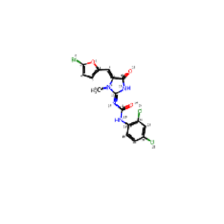 CN1/C(=C\c2ccc(Br)o2)C(=O)N/C1=N\C(=O)Nc1ccc(Cl)cc1Cl